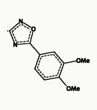 COc1ccc(-c2n[c]no2)cc1OC